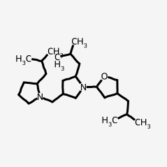 CC(C)CC1COC(N2CC(CN3CCCC3CC(C)C)CC2CC(C)C)C1